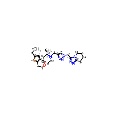 CCc1cc2c(s1)CCO[C@@]21CCN(Cc2cn(Cc3nnc4n3CCCC4)nn2)[C@@H](C)C1